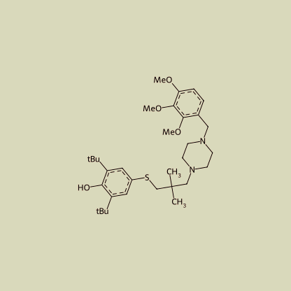 COc1ccc(CN2CCN(CC(C)(C)CSc3cc(C(C)(C)C)c(O)c(C(C)(C)C)c3)CC2)c(OC)c1OC